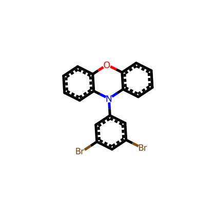 Brc1cc(Br)cc(N2c3ccccc3Oc3ccccc32)c1